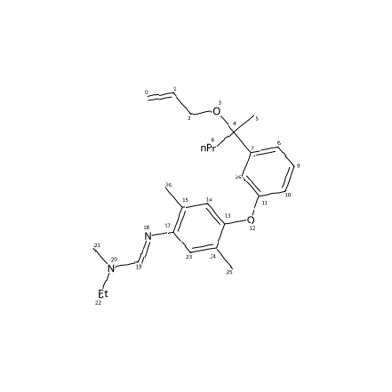 C=CCOC(C)(CCC)c1cccc(Oc2cc(C)c(N=CN(C)CC)cc2C)c1